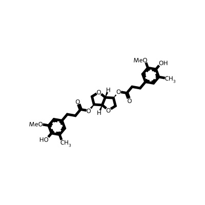 COc1cc(CCC(=O)O[C@H]2CO[C@H]3[C@@H]2OC[C@H]3OC(=O)CCc2cc(C)c(O)c(OC)c2)cc(C)c1O